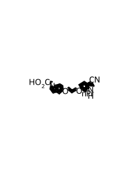 CCCc1c(OCCCOc2ccc3c(ccn3CC(=O)O)c2)ccc2c(C#N)c[nH]c12